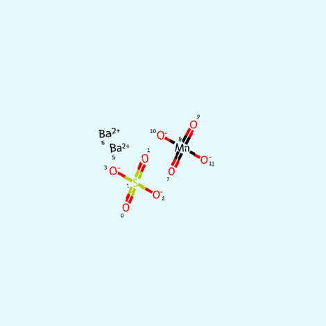 O=S(=O)([O-])[O-].[Ba+2].[Ba+2].[O]=[Mn](=[O])([O-])[O-]